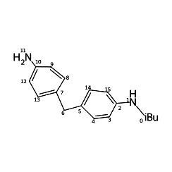 CCC(C)Nc1ccc(Cc2ccc(N)cc2)cc1